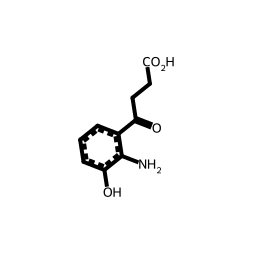 Nc1c(O)cccc1C(=O)CCC(=O)O